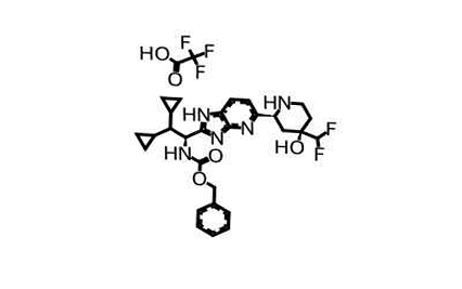 O=C(N[C@H](c1nc2nc([C@@H]3C[C@@](O)(C(F)F)CCN3)ccc2[nH]1)C(C1CC1)C1CC1)OCc1ccccc1.O=C(O)C(F)(F)F